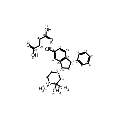 CN1CCN([C@H]2C[C@@H](c3ccccc3)c3ccc(Cl)cc32)CC1(C)C.O=C(O)CCC(=O)O